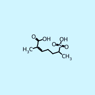 CC(=CCCC(C)S(=O)(=O)O)C(=O)O